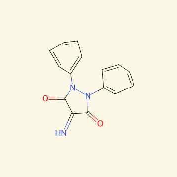 N=C1C(=O)N(c2ccccc2)N(c2ccccc2)C1=O